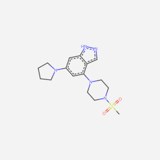 CS(=O)(=O)N1CCN(c2cc(N3CCCC3)cc3[nH]ncc23)CC1